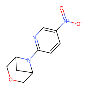 O=[N+]([O-])c1ccc(N2C3COCC2C3)nc1